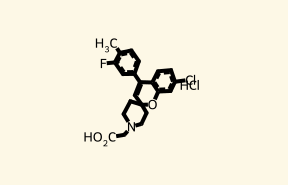 Cc1ccc(C2=CC3(CCN(CC(=O)O)CC3)Oc3cc(Cl)ccc32)cc1F.Cl